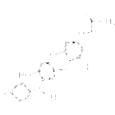 CC(=O)COc1cc(Cl)c(Cc2ccc(O)c([C@@H](C)c3ccc(F)cc3)c2)c(Cl)c1